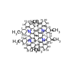 Cc1ccc(N(c2ccc(C)c3ccccc23)c2cc(N(c3ccc(C)cc3)c3ccc(C)c4ccccc34)c3ccc4c(N(c5ccc(C)cc5)c5ccc(C)c6ccccc56)cc(N(c5ccc(C)cc5)c5ccc(C)c6ccccc56)c5ccc2c3c54)cc1